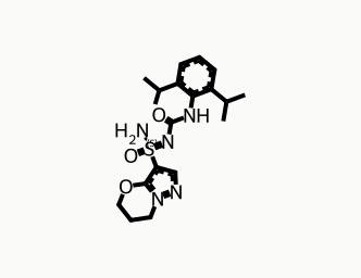 CC(C)c1cccc(C(C)C)c1NC(=O)N=[S@](N)(=O)c1cnn2c1OCCC2